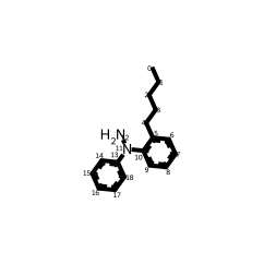 CCCCCc1ccccc1N(N)c1ccccc1